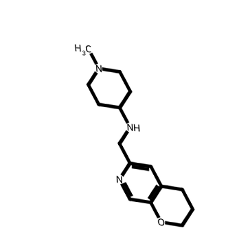 CN1CCC(NCc2cc3c(cn2)OCCC3)CC1